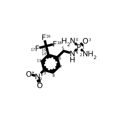 NP(N)(=O)NCc1ccc([N+](=O)[O-])cc1C(F)(F)F